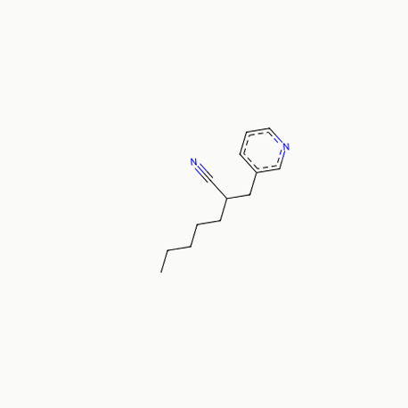 CCCCCC(C#N)Cc1cccnc1